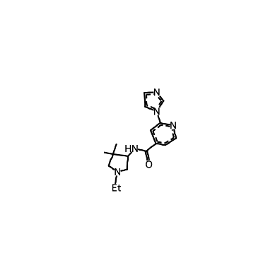 CCN1CC(NC(=O)c2ccnc(-n3ccnc3)c2)C(C)(C)C1